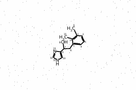 Cc1cccc(CC(O)c2c[nH]cn2)c1C